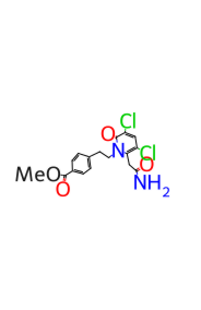 COC(=O)c1ccc(CCn2c(CC(N)=O)c(Cl)cc(Cl)c2=O)cc1